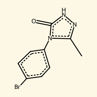 Cc1n[nH]c(=O)n1-c1ccc(Br)cc1